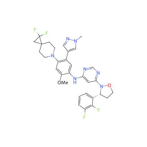 COc1cc(N2CCC3(CC2)CC3(F)F)c(-c2cnn(C)c2)cc1Nc1cc(N2OCC[C@@H]2c2cccc(F)c2F)ncn1